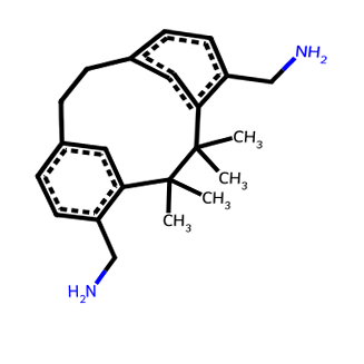 CC1(C)c2cc(ccc2CN)CCc2ccc(CN)c(c2)C1(C)C